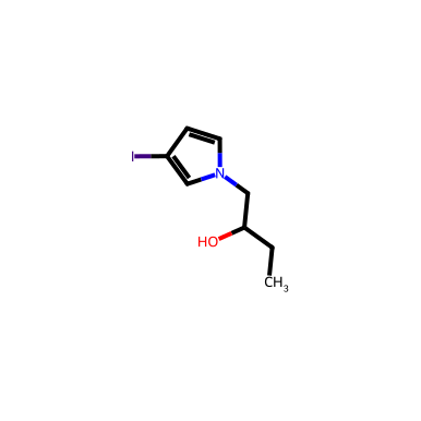 CCC(O)Cn1ccc(I)c1